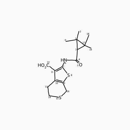 CC1(C)C(C(=O)Nc2sc3c(c2C(=O)O)CCSC3)C1(C)C